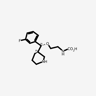 O=C(O)NCCO[C@@H](c1cccc(F)c1)[C@@H]1CCCNC1